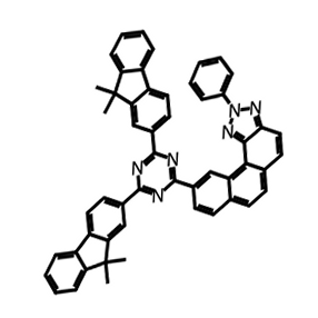 CC1(C)c2ccccc2-c2ccc(-c3nc(-c4ccc5c(c4)C(C)(C)c4ccccc4-5)nc(-c4ccc5ccc6ccc7nn(-c8ccccc8)nc7c6c5c4)n3)cc21